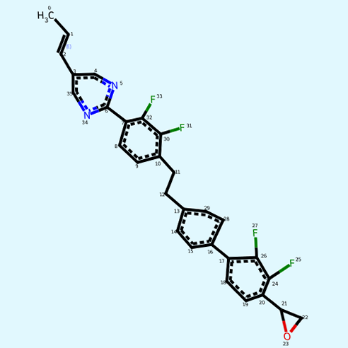 C/C=C/c1cnc(-c2ccc(CCc3ccc(-c4ccc(C5CO5)c(F)c4F)cc3)c(F)c2F)nc1